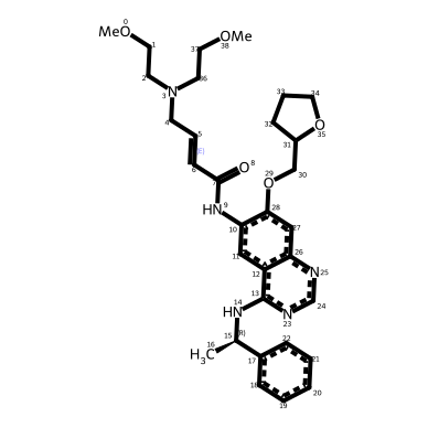 COCCN(C/C=C/C(=O)Nc1cc2c(N[C@H](C)c3ccccc3)ncnc2cc1OCC1CCCO1)CCOC